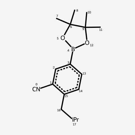 [C-]#[N+]c1cc(B2OC(C)(C)C(C)(C)O2)ccc1CC(C)C